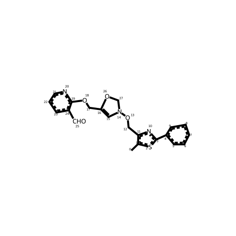 Cc1sc(-c2ccccc2)nc1CON1C=C(COc2ncccc2C=O)OC1